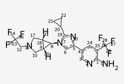 Nc1ncc(-c2cn([C@H]3[C@@H]4CN(CC(F)(F)F)C[C@@H]43)c(C3CC3)n2)cc1C(F)(F)F